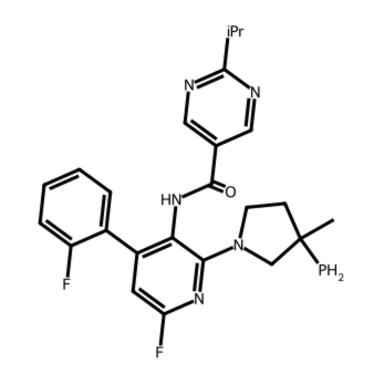 CC(C)c1ncc(C(=O)Nc2c(-c3ccccc3F)cc(F)nc2N2CCC(C)(P)C2)cn1